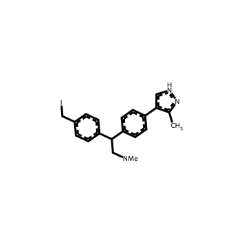 CNCC(c1ccc(CI)cc1)c1ccc(-c2c[nH]nc2C)cc1